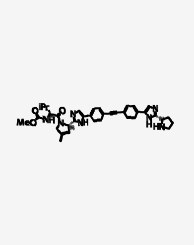 COC(=O)N[C@H](C(=O)N1CC(C)=C[C@H]1c1ncc(-c2ccc(C#Cc3ccc(-c4cnc([C@@H]5CCCN5)[nH]4)cc3)cc2)[nH]1)C(C)C